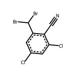 N#Cc1c(Cl)cc(Cl)cc1C(Br)Br